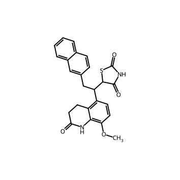 COc1ccc(C(Cc2ccc3ccccc3c2)C2SC(=O)NC2=O)c2c1NC(=O)CC2